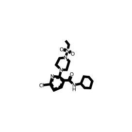 CCS(=O)(=O)N1CCN(c2nc(Cl)ccc2C(=O)NC2CCCCC2)CC1